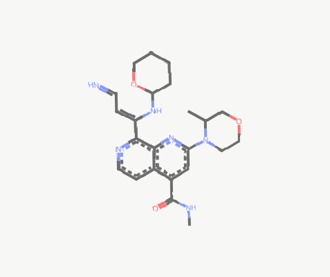 CNC(=O)c1cc(N2CCOCC2C)nc2c(/C(=C/C=N)NC3CCCCO3)nccc12